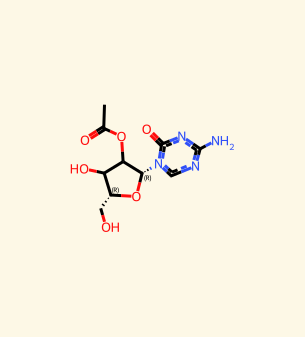 CC(=O)OC1C(O)[C@@H](CO)O[C@H]1n1cnc(N)nc1=O